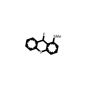 CSc1cccc2c1C(F)c1ccccc1S2